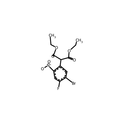 CCOC(=O)C(C(=O)OCC)c1cc(Br)c(F)cc1[N+](=O)[O-]